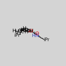 CC(C)CCCCCCNC(=O)CCCCCO[C@H]1CC[C@@]2(C)C(=CC[C@H]3[C@@H]4CC[C@H]([C@H](C)CCCC(C)C)[C@@]4(C)CC[C@@H]32)C1